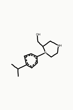 CC(C)c1ccc(N2CCNCC2CO)cc1